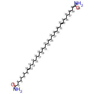 NC(=O)CCCCCCCC=CCCCCCCCCCCCCCCCCCCCCC=CCCCCCCCC(N)=O